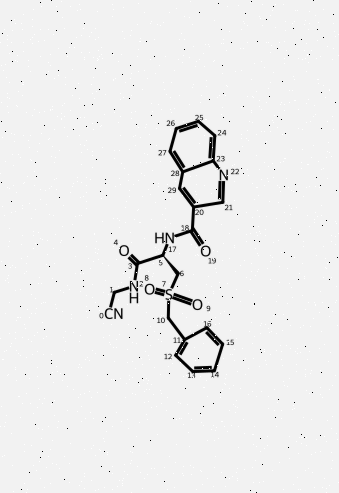 N#CCNC(=O)[C@H](CS(=O)(=O)Cc1ccccc1)NC(=O)c1cnc2ccccc2c1